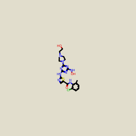 Cc1cccc(Cl)c1NC(=O)c1cnc(Nc2nc(NO)nc(N3CCN(CCO)CC3)n2)s1